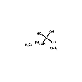 O[Si](O)(O)O.P.[CaH2].[CaH2]